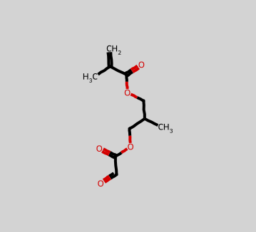 C=C(C)C(=O)OCC(C)COC(=O)C=O